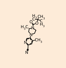 Cc1cc(C#N)ncc1N1CCN(C(=O)OC(C)(C)C)[C@@H](C)C1